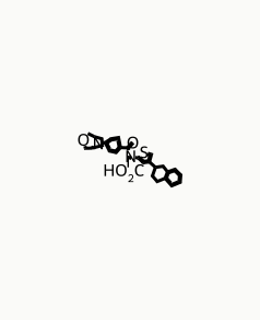 O=C(O)c1c(C2CCc3ccccc3C2)csc1N(I)C(=O)c1ccc(N2C3CCC2COC3)cc1